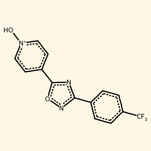 O[n+]1ccc(-c2nc(-c3ccc(C(F)(F)F)cc3)no2)cc1